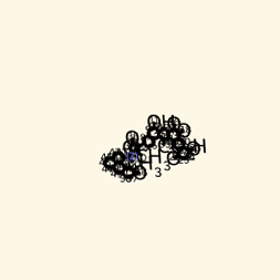 CC1=C(c2ccc3c(c2)cc(O)c2cc4c(=O)c(=O)c5cc6c(=O)ccc(=O)c6cc5c4c(C(=O)O)c23)C(=O)O/C1=C(/C)c1ccc2cccc3cc4c(c1c23)=CC(=O)C=C4